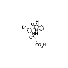 O=C(O)CCCC(=O)Nc1ccc(Br)cc1-c1nc2ccccc2[nH]c1=O